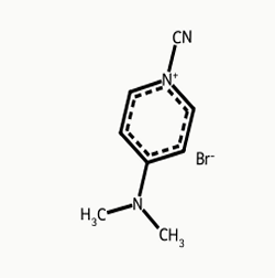 CN(C)c1cc[n+](C#N)cc1.[Br-]